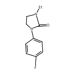 CCN1CCN(c2ccc(F)cc2)C1=O